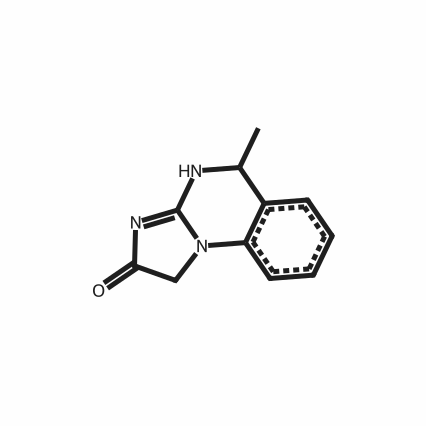 CC1NC2=NC(=O)CN2c2ccccc21